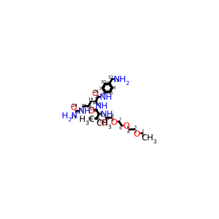 CCOCCOCCOCC(=O)N[C@H](C(=O)N[C@@H](CCCNC(N)=O)C(=O)Nc1ccc(CN)cc1)C(C)C